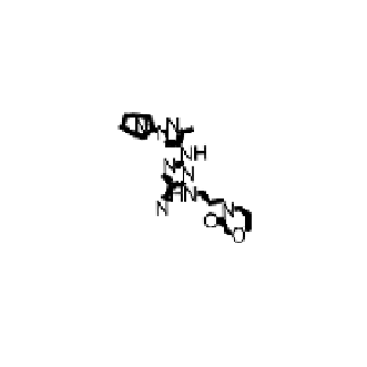 Cc1nn(C2CC3CCC(C2)N3C)cc1Nc1ncc(C#N)c(NCCCN2CCCOCC2=O)n1